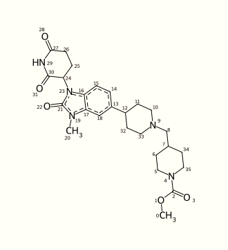 COC(=O)N1CCC(CN2CCC(c3ccc4c(c3)n(C)c(=O)n4C3CCC(=O)NC3=O)CC2)CC1